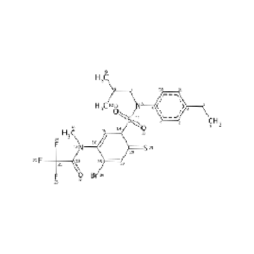 CCc1ccc(N(CC(C)C)S(=O)(=O)C2C=C(N(C)C(=O)C(F)(F)F)C(Br)=CC2=S)cc1